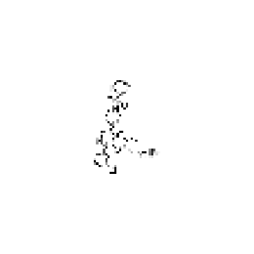 CC(C)O[C@H]1CC[C@H](Oc2c(N3CCN(S(=O)(=O)c4ccccn4)CC3)cnn(-c3cccc(Cl)c3)c2=O)CC1